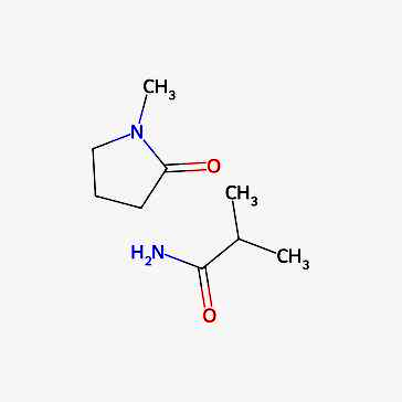 CC(C)C(N)=O.CN1CCCC1=O